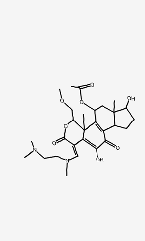 COCC1OC(=O)/C(=C\N(C)CCN(C)C)C2=C(O)C(=O)C3=C(C(OC(C)=O)CC4(C)C(O)CCC34)C21C